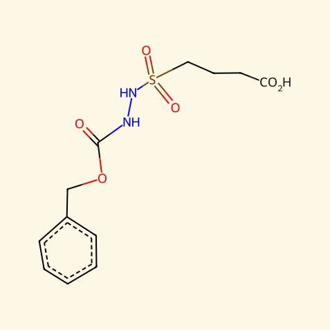 O=C(O)CCCS(=O)(=O)NNC(=O)OCc1ccccc1